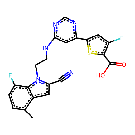 Cc1ccc(F)c2c1cc(C#N)n2CCNc1cc(-c2cc(F)c(C(=O)O)s2)ncn1